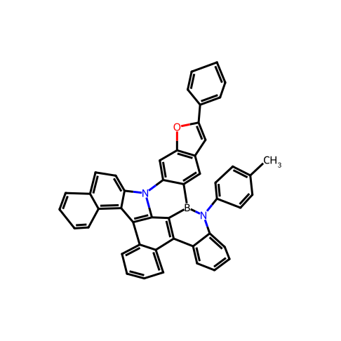 Cc1ccc(N2B3c4cc5cc(-c6ccccc6)oc5cc4-n4c5ccc6ccccc6c5c5c6ccccc6c(c3c54)-c3ccccc32)cc1